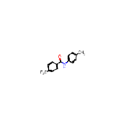 Cc1ccc(NC(=O)c2ccc(C(F)(F)F)cc2)cc1